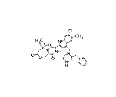 CCC1(O)CC(=O)OCc2c1cc1n(c2=O)Cc2c-1nc1cc(Cl)c(C)cc1c2CN1CCNCC1Cc1ccccc1